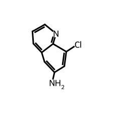 Nc1cc(Cl)c2ncccc2c1